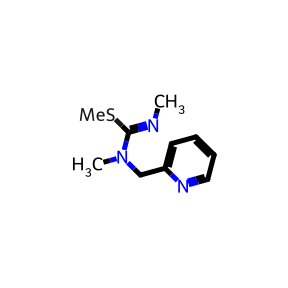 CN=C(SC)N(C)Cc1ccccn1